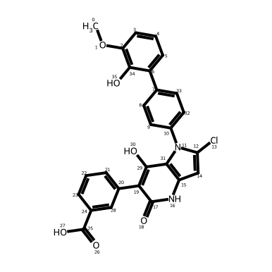 COc1cccc(-c2ccc(-n3c(Cl)cc4[nH]c(=O)c(-c5cccc(C(=O)O)c5)c(O)c43)cc2)c1O